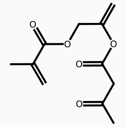 C=C(COC(=O)C(=C)C)OC(=O)CC(C)=O